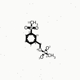 CS(=O)(=O)OCc1cccc(S(C)(=O)=O)c1